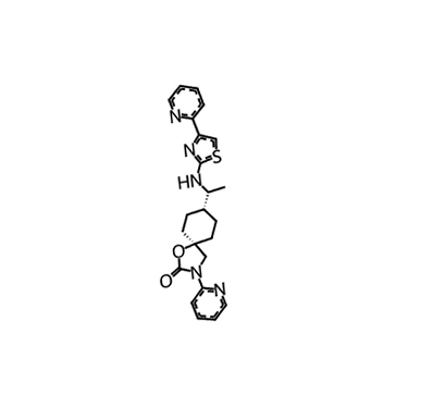 CC(Nc1nc(-c2ccccn2)cs1)[C@H]1CC[C@]2(CC1)CN(c1ccccn1)C(=O)O2